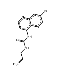 C=CCNC(=O)Nc1ccnc2cc(Br)cnc12